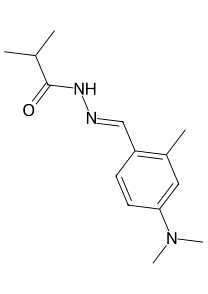 Cc1cc(N(C)C)ccc1C=NNC(=O)C(C)C